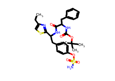 CCc1csc(C(Cc2ccc(OS(N)(=O)=O)cc2)NC(=O)C(Cc2ccccc2)NC(=O)OC(C)(C)C)n1